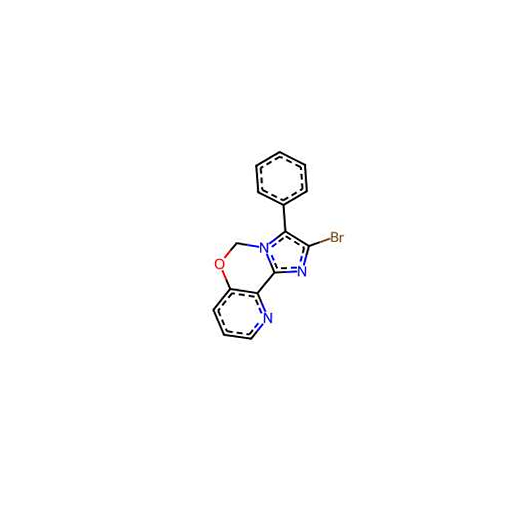 Brc1nc2n(c1-c1ccccc1)COc1cccnc1-2